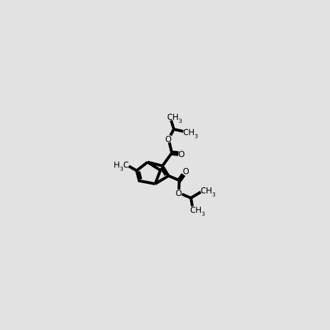 CC1=CC2CC1C(C(=O)OC(C)C)=C2C(=O)OC(C)C